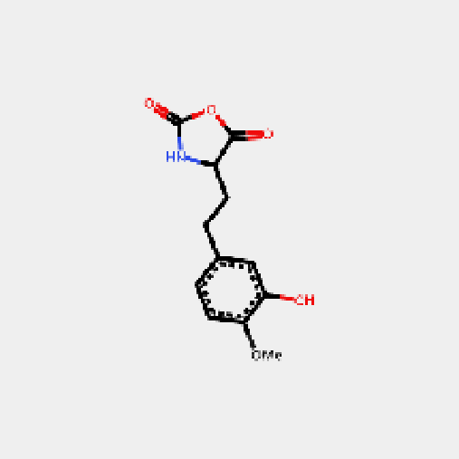 COc1ccc(CCC2NC(=O)OC2=O)cc1O